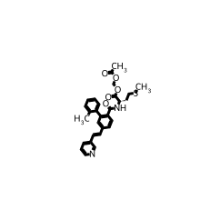 CSCC[C@H](NC(=O)c1ccc(C=Cc2cccnc2)cc1-c1ccccc1C)C(=O)OCOC(C)=O